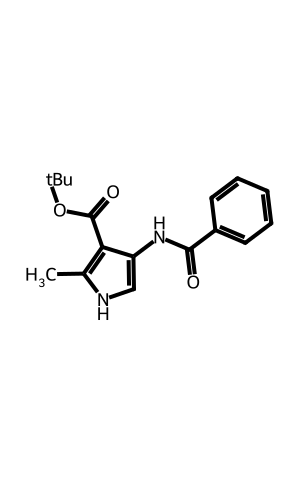 Cc1[nH]cc(NC(=O)c2ccccc2)c1C(=O)OC(C)(C)C